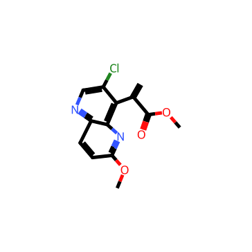 C=C(C(=O)OC)c1c(Cl)cnc2ccc(OC)nc12